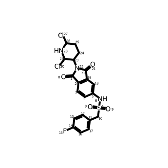 O=C1c2ccc(NS(=O)(=O)Cc3ccc(F)cc3)cc2C(=O)N1C1CCC(Cl)NC1Cl